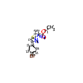 CCOC(=O)C1(Nc2nc(-c3ccc(Br)cc3)cs2)CCC1